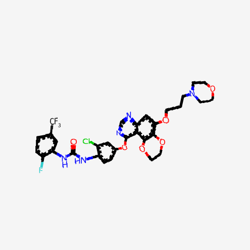 O=C(Nc1cc(C(F)(F)F)ccc1F)Nc1ccc(Oc2ncnc3cc(OCCCN4CCOCC4)c4c(c23)OCCO4)cc1Cl